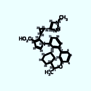 C[C@H](Oc1cccc(-c2cccc(-n3ccc(C(=O)O)c3[C@H]3C[C@@H]3c3cn(C)nn3)c2)c1)C1CCCCC1